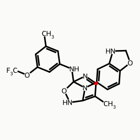 CC1=C2NOC(Nc3cc(C)cc(OC(F)(F)F)c3)(N=C1)N2c1ccc2c(c1)NCO2